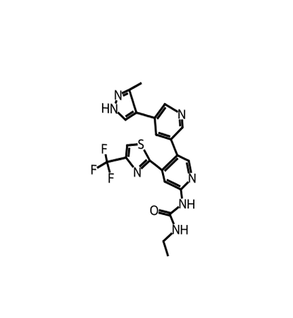 CCNC(=O)Nc1cc(-c2nc(C(F)(F)F)cs2)c(-c2cncc(-c3c[nH]nc3C)c2)cn1